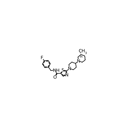 C[C@@H]1CCCN(C2CCN(c3ncc(C(=O)NCc4ccc(F)cc4)s3)CC2)C1